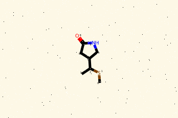 CSC(C)C1CNC(=O)C1